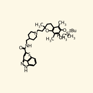 Cc1c(C)c2c(c(C)c1O[Si](C)(C)C(C)(C)C)CCC(C)(CCN1CCC(CNC(=O)C3=Cc4n[nH]c5cccc(c45)S3)CC1)O2